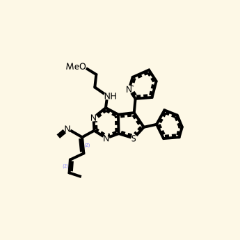 C=N/C(=C\C=C/C)c1nc(NCCOC)c2c(-c3ccccn3)c(-c3ccccc3)sc2n1